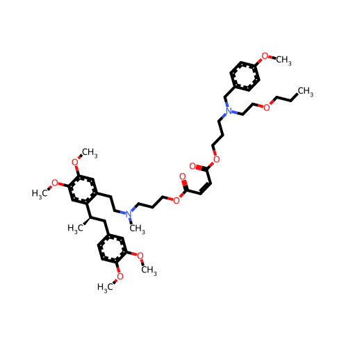 CCCOCCN(CCCOC(=O)/C=C\C(=O)OCCCN(C)CCc1cc(OC)c(OC)cc1[C@H](C)Cc1ccc(OC)c(OC)c1)Cc1ccc(OC)cc1